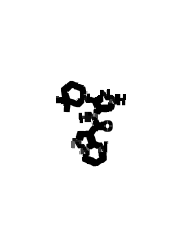 CC1(C)CCCN(c2n[nH]cc2NC(=O)c2cnn3cccnc23)C1